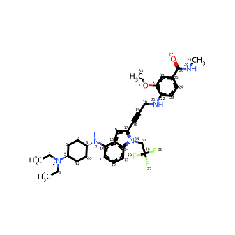 CCN(CC)[C@H]1CC[C@H](Nc2cccc3c2cc(C#CCNc2ccc(C(=O)NC)cc2OC)n3CC(F)(F)F)CC1